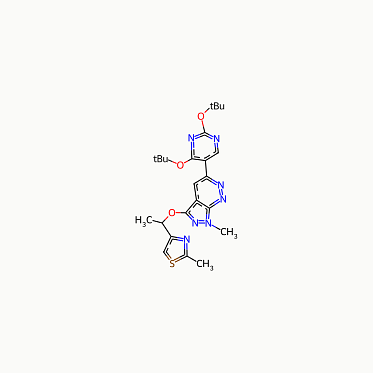 Cc1nc(C(C)Oc2nn(C)c3nnc(-c4cnc(OC(C)(C)C)nc4OC(C)(C)C)cc23)cs1